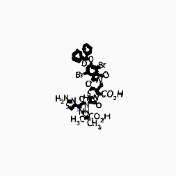 CC(C)(O/N=C(\C(=O)NC1C(=O)N2C(C(=O)O)=C(CN3C(=O)c4c(Br)c5c(c(Br)c4C3=O)OC(c3ccccc3)(c3ccccc3)O5)CS[C@@H]12)c1csc(N)n1)C(=O)O